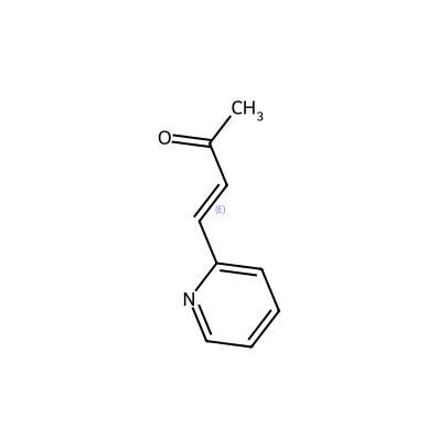 CC(=O)/C=C/c1ccccn1